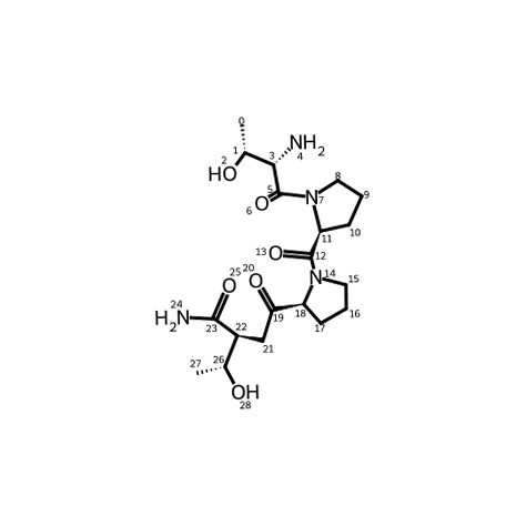 C[C@@H](O)[C@H](N)C(=O)N1CCC[C@H]1C(=O)N1CCC[C@H]1C(=O)C[C@H](C(N)=O)[C@@H](C)O